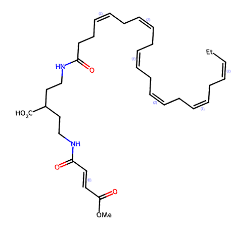 CC/C=C\C/C=C\C/C=C\C/C=C\C/C=C\C/C=C\CCC(=O)NCCC(CCNC(=O)/C=C/C(=O)OC)C(=O)O